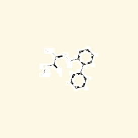 CCCNC(=O)C(C#N)=NNc1ccccc1-c1ccccc1